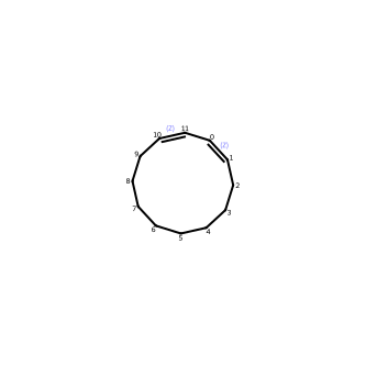 C1=C\CCCCCCCC\C=C/1